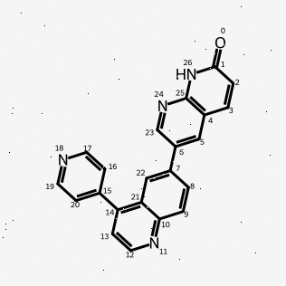 O=c1ccc2cc(-c3ccc4nccc(-c5ccncc5)c4c3)cnc2[nH]1